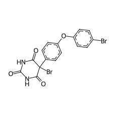 O=C1NC(=O)C(Br)(c2ccc(Oc3ccc(Br)cc3)cc2)C(=O)N1